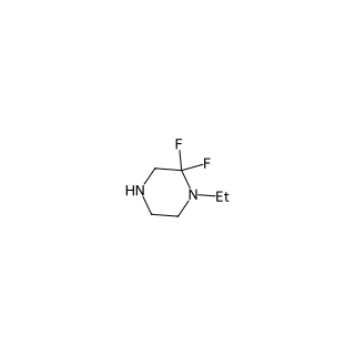 CCN1CCNCC1(F)F